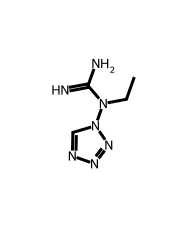 CCN(C(=N)N)n1cnnn1